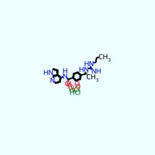 CCCNC(=N)N[C@H](C)c1ccc(C(=O)Nc2ccnc3[nH]ccc23)cc1.Cl.Cl.O.O